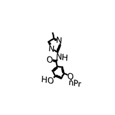 CCCOc1cc(O)cc(C(=O)Nc2cnc(C)cn2)c1